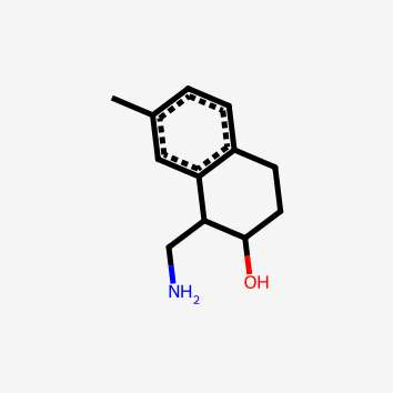 Cc1ccc2c(c1)C(CN)C(O)CC2